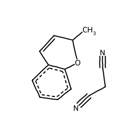 CC1C=Cc2ccccc2O1.N#CCC#N